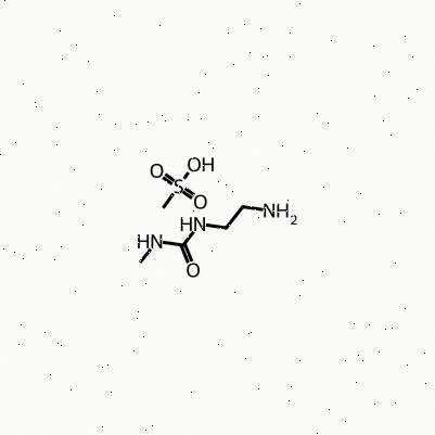 CNC(=O)NCCN.CS(=O)(=O)O